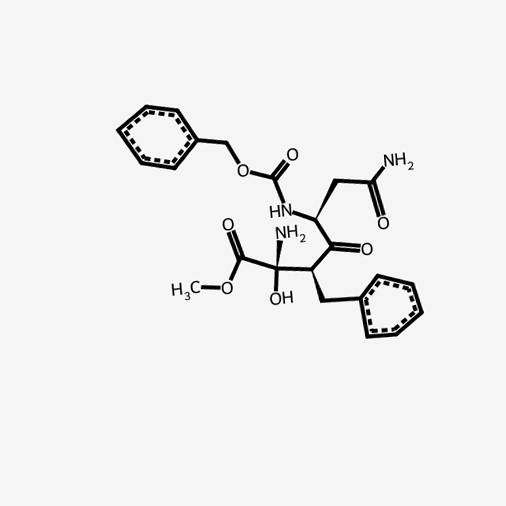 COC(=O)[C@@](N)(O)[C@H](Cc1ccccc1)C(=O)[C@H](CC(N)=O)NC(=O)OCc1ccccc1